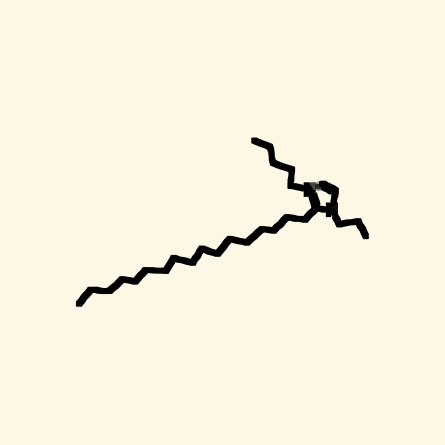 CCCCCCCCCCCCCCCCCc1n(CCC)cc[n+]1CCCCC